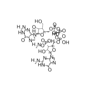 NOP(=O)(O)C1C(O)[C@H](n2cnc3c(=O)[nH]c(N)nc32)O[C@@H]1COP(=O)(O)OP(=O)(O)OP(=O)(O)OC[C@H]1O[C@@H](n2cnc3c(=O)[nH]c(N)nc32)C(O)C1CO